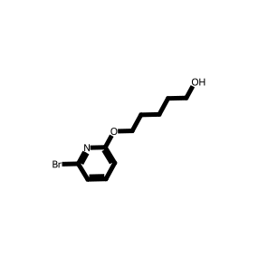 OCCCCCOc1cccc(Br)n1